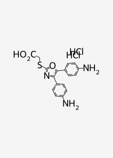 Cl.Cl.Nc1ccc(-c2nc(SCC(=O)O)oc2-c2ccc(N)cc2)cc1